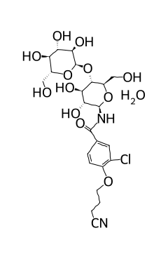 N#CCCCOc1ccc(C(=O)N[C@@H]2O[C@H](CO)[C@@H](O[C@H]3O[C@H](CO)[C@@H](O)[C@H](O)[C@H]3O)[C@H](O)[C@H]2O)cc1Cl.O